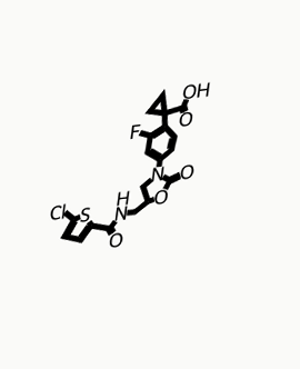 O=C(NCC1CN(c2ccc(C3(C(=O)O)CC3)c(F)c2)C(=O)O1)c1ccc(Cl)s1